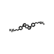 CCCCc1ccc(-n2ccc3cc4c(ccn4-c4ccc(CCCC)cc4)cc32)cc1